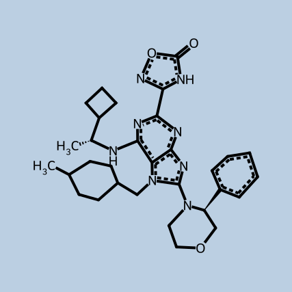 CC1CCC(Cn2c(N3CCOC[C@@H]3c3ccccc3)nc3nc(-c4noc(=O)[nH]4)nc(N[C@H](C)C4CCC4)c32)CC1